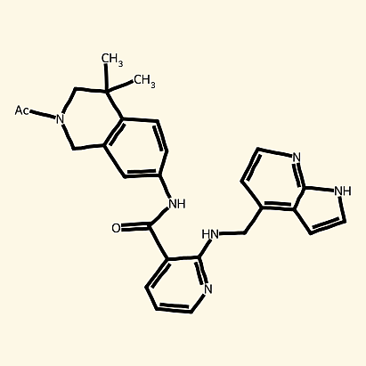 [CH2]C(=O)N1Cc2cc(NC(=O)c3cccnc3NCc3ccnc4[nH]ccc34)ccc2C(C)(C)C1